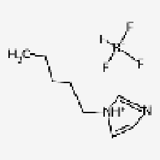 CCCCC[NH+]1C=CN=C1.F[B-](F)(F)F